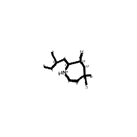 CCC(C)CC1NCCC(C)(C)CC1C